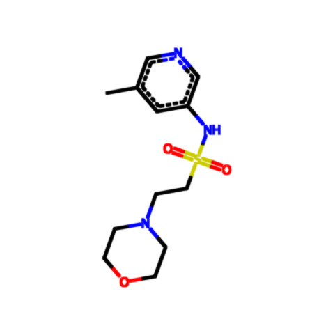 Cc1cncc(NS(=O)(=O)CCN2CCOCC2)c1